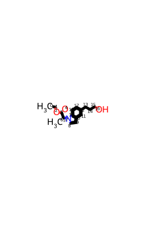 CCOC(=O)C(C)n1ccc2cc(CCCO)ccc21